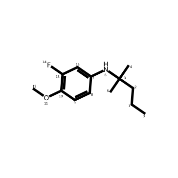 CCCC(C)(C)Nc1ccc(OC)c(F)c1